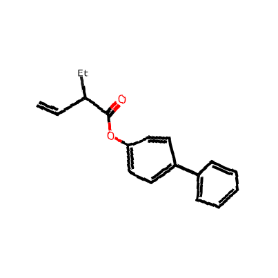 C=CC(CC)C(=O)Oc1ccc(-c2ccccc2)cc1